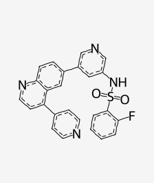 O=S(=O)(Nc1cncc(-c2ccc3nccc(-c4ccncc4)c3c2)c1)c1ccccc1F